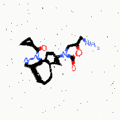 NCC1CN(c2ccc3c(c2)CCCc2cnn(C(=O)C4CC4)c2-3)C(=O)O1